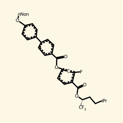 CCCCCCCCCOc1ccc(-c2ccc(C(=O)Oc3ccc(C(=O)O[C@H](CCC(C)C)C(F)(F)F)c(F)c3)cc2)cc1